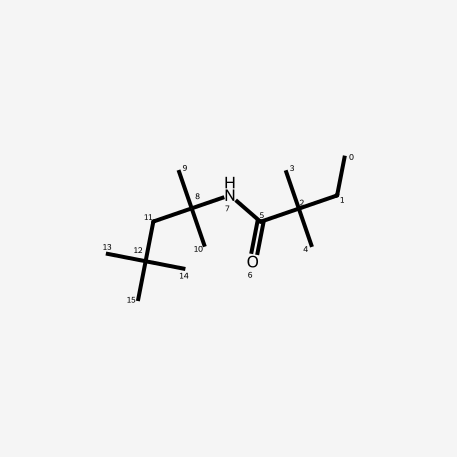 CCC(C)(C)C(=O)NC(C)(C)CC(C)(C)C